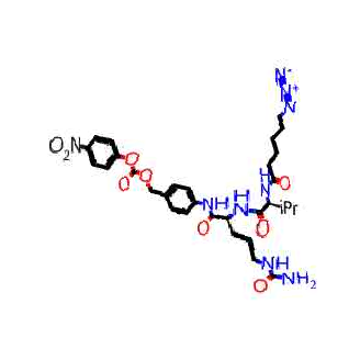 CC(C)[C@H](NC(=O)CCCCCN=[N+]=[N-])C(=O)N[C@@H](CCCNC(N)=O)C(=O)Nc1ccc(COC(=O)Oc2ccc([N+](=O)[O-])cc2)cc1